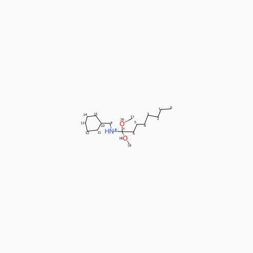 CCCCCCCC(NCC1CCCCC1)(OC)OC